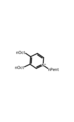 CCCCCCCCc1cc[n+](CCCCC)cc1CCCCCCCC